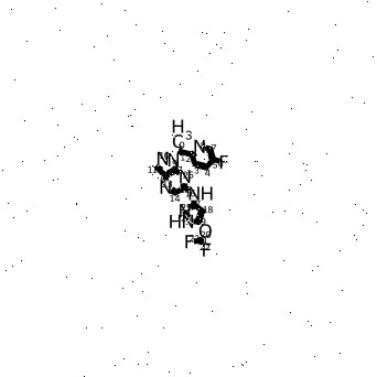 C[C@@H](c1ccc(F)cn1)n1ncc2ncc(Nc3cc(OC(F)F)[nH]n3)nc21